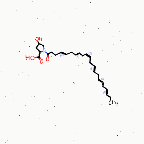 CC/C=C/C/C=C/C/C=C/C/C=C\C/C=C/C/C=C/CCC(=O)N1CC(O)CC1C(=O)O